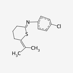 CC(C)=C1CCCC(=Nc2ccc(Cl)cc2)S1